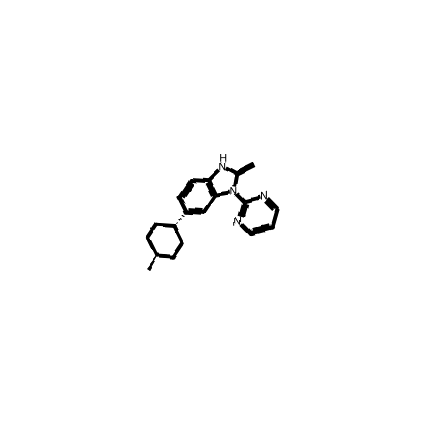 C=C1Nc2ccc([C@H]3CC[C@H](C)CC3)cc2N1c1ncccn1